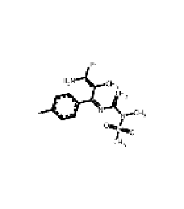 C=C(/N=C(\C(C)=C(/N)C(C)C)c1ccc(F)cc1)N(C)S(C)(=O)=O